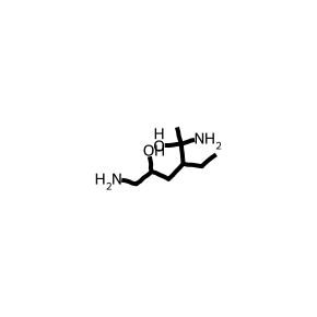 CCC(CC(O)CN)C(C)(N)O